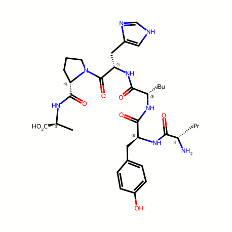 CCC(C)[C@H](NC(=O)[C@H](Cc1ccc(O)cc1)NC(=O)[C@@H](N)C(C)C)C(=O)N[C@@H](Cc1c[nH]cn1)C(=O)N1CCC[C@H]1C(=O)N[C@@H](C)C(=O)O